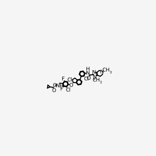 CN1CCc2c(nc(C(=O)Nc3cccc(-c4cccc5c4CCC5Oc4c(Cl)c(F)c(CNOC(=O)C5CC5)c(F)c4Cl)c3Cl)n2C)C1